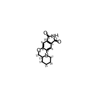 O=C1NC(=O)c2cc3c(cc21)OCC1CCCCN31